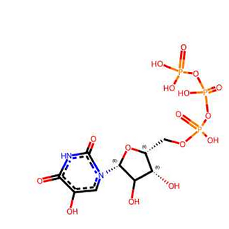 O=c1[nH]c(=O)n([C@@H]2O[C@H](COP(=O)(O)OP(=O)(O)OP(=O)(O)O)[C@H](O)C2O)cc1O